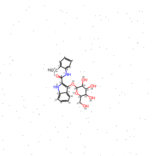 O=C(O)c1ccccc1NC(=O)c1[nH]c2ccccc2c1OC1OC(CO)C(O)C(O)C1O